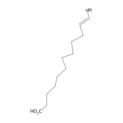 CCC/C=C/CCCCCCCCCC(=O)O